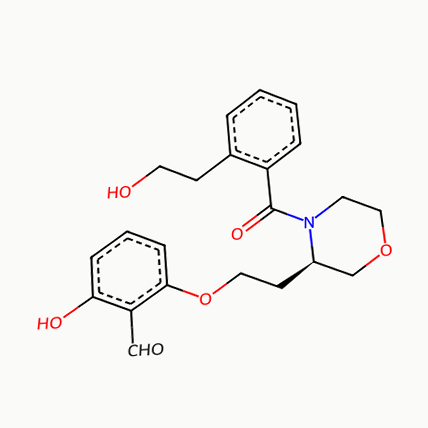 O=Cc1c(O)cccc1OCC[C@@H]1COCCN1C(=O)c1ccccc1CCO